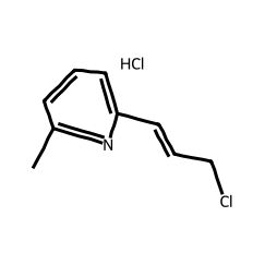 Cc1cccc(C=CCCl)n1.Cl